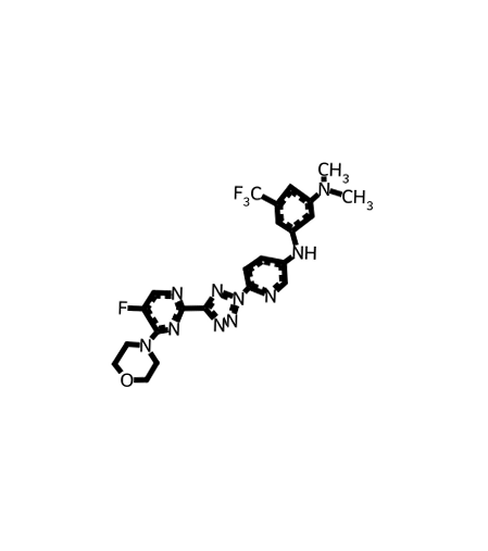 CN(C)c1cc(Nc2ccc(-n3nnc(-c4ncc(F)c(N5CCOCC5)n4)n3)nc2)cc(C(F)(F)F)c1